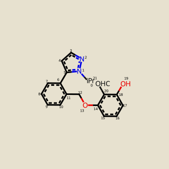 CC(C)n1nccc1-c1ccccc1COc1cccc(O)c1C=O